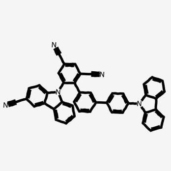 N#Cc1cc(C#N)c(-c2cccc(-c3ccc(-n4c5ccccc5c5ccccc54)cc3)c2)c(-n2c3ccccc3c3cc(C#N)ccc32)c1